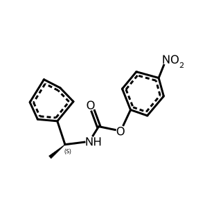 C[C@H](NC(=O)Oc1ccc([N+](=O)[O-])cc1)c1ccccc1